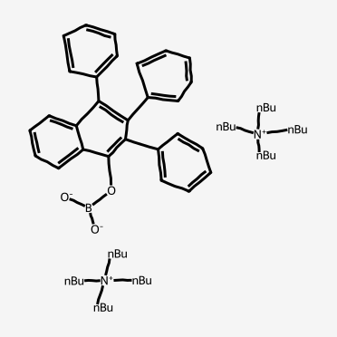 CCCC[N+](CCCC)(CCCC)CCCC.CCCC[N+](CCCC)(CCCC)CCCC.[O-]B([O-])Oc1c(-c2ccccc2)c(-c2ccccc2)c(-c2ccccc2)c2ccccc12